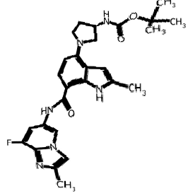 Cc1cn2cc(NC(=O)c3ccc(N4CC[C@@H](NC(=O)OC(C)(C)C)C4)c4cc(C)[nH]c34)cc(F)c2n1